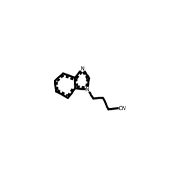 N#CCCCn1cnc2ccccc21